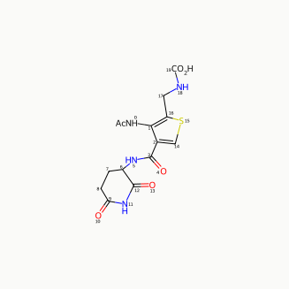 CC(=O)Nc1c(C(=O)NC2CCC(=O)NC2=O)csc1CNC(=O)O